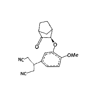 COc1ccc(C(CC#N)CC#N)cc1O[C@H]1C(=O)C2CCC1C2